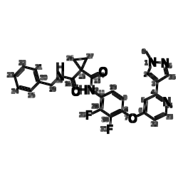 Cn1cc(-c2cc(Oc3ccc(NC(=O)C4(C(=O)NCc5ccccc5)CC4)c(F)c3F)ccn2)cn1